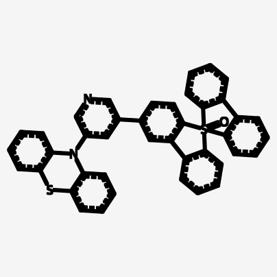 O=S12(c3ccccc3-c3ccccc31)c1ccccc1-c1cc(-c3cncc(N4c5ccccc5Sc5ccccc54)c3)ccc12